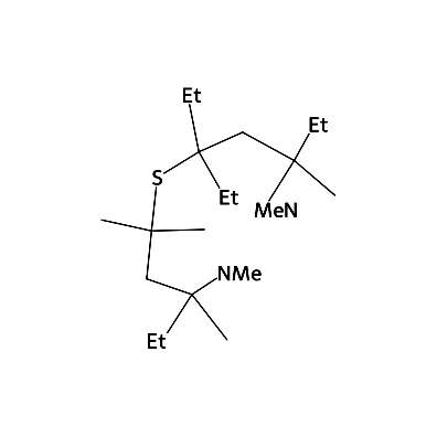 CCC(C)(CC(C)(C)SC(CC)(CC)CC(C)(CC)NC)NC